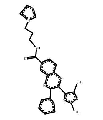 Cc1nc(C)c(-c2nc3ccc(C(=O)NCCCn4ccnc4)cc3nc2-c2ccccc2)s1